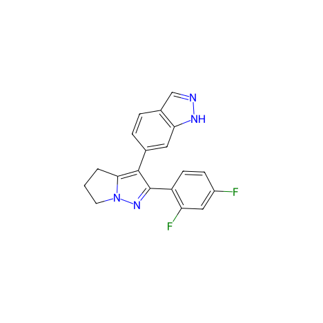 Fc1ccc(-c2nn3c(c2-c2ccc4cn[nH]c4c2)CCC3)c(F)c1